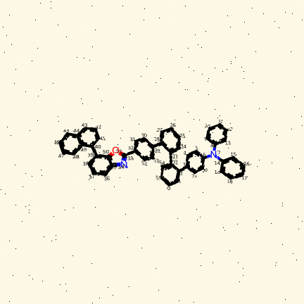 C1=C=C(c2ccc(N(c3ccccc3)c3ccccc3)cc2)C(c2ccccc2-c2ccc(-c3nc4cccc(-c5cccc6ccccc56)c4o3)cc2)=CC=1